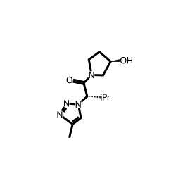 Cc1cn([C@H](C(=O)N2CC[C@@H](O)C2)C(C)C)nn1